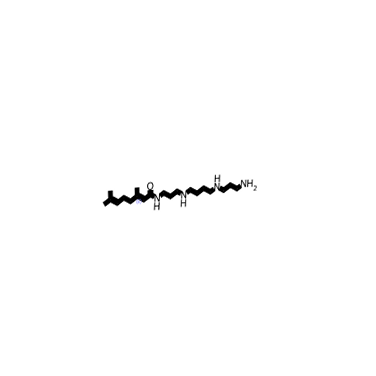 CC(C)=CCC/C(C)=C/C(=O)NCCCNCCCCNCCCN